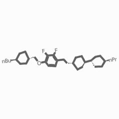 CCCC[C@H]1CC[C@H](COc2ccc(CC[C@H]3CC[C@H]([C@H]4CC[C@H](CCC)CC4)CC3)c(F)c2F)CC1